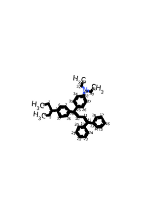 CCC(CC)c1ccc(C(=CC=C(c2ccccc2)c2ccccc2)c2ccc(N(CC)CC)cc2)cc1